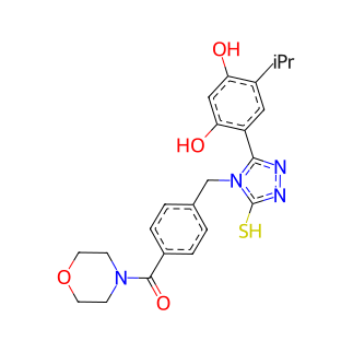 CC(C)c1cc(-c2nnc(S)n2Cc2ccc(C(=O)N3CCOCC3)cc2)c(O)cc1O